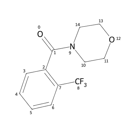 O=C(c1ccc[c]c1C(F)(F)F)N1CCOCC1